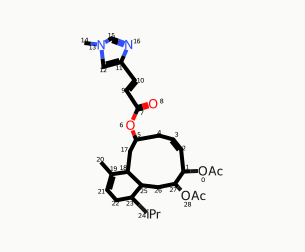 CC(=O)OC1C=CCC(OC(=O)C=Cc2cn(C)cn2)CC2C(C)=CCC(C(C)C)C2CC1OC(C)=O